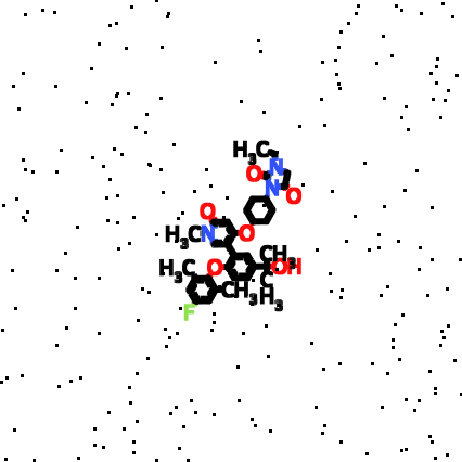 CCN1CC(=O)N([C@H]2CC[C@H](Oc3cc(=O)n(C)cc3-c3cc(C(C)(C)O)ccc3Oc3c(C)cc(F)cc3C)CC2)C1=O